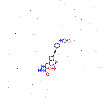 COC1CN(Cc2ccc(C#Cc3ccc([C@H](Cc4nc[nH]c(=O)c4O)CN(C)C4CC4)cc3)cc2)C1